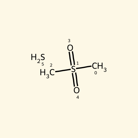 CS(C)(=O)=O.S